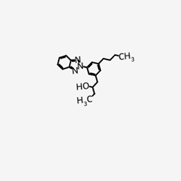 CCCCc1cc(CC(O)CC)cc(-n2nc3ccccc3n2)c1